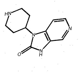 O=c1[nH]c2cnccc2n1C1CCNCC1